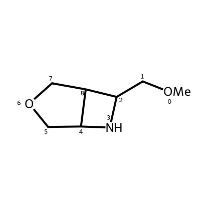 COCC1NC2COCC12